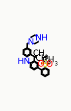 CC1(C)c2cc(CN3CCNCC3)ccc2Nc2ccc(-c3ccccc3S(C)(=O)=O)cc21